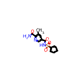 Cc1cc(C(=O)NS(=O)(=O)c2ccccc2)cnc1C(N)=O